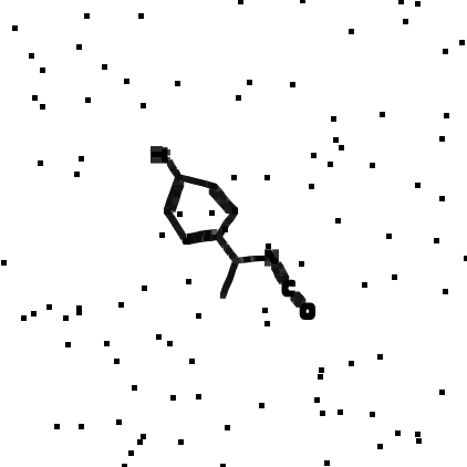 CCc1ccc(C(C)N=C=O)cc1